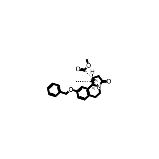 COC(=O)[C@@H]1[C@@H](C)C[C@@]23c4cc(OCc5ccccc5)ccc4CCN2C(=O)C[C@@H]13